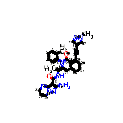 Cc1ccccc1-n1c(C(C)NC(=O)c2c(N)nn3cccnc23)cc2cccc(C#Cc3cnn(C)c3)c2c1=O